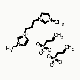 C=CCS(=O)(=O)[O-].C=CCS(=O)(=O)[O-].Cn1cc[n+](CCC[n+]2ccn(C)c2)c1